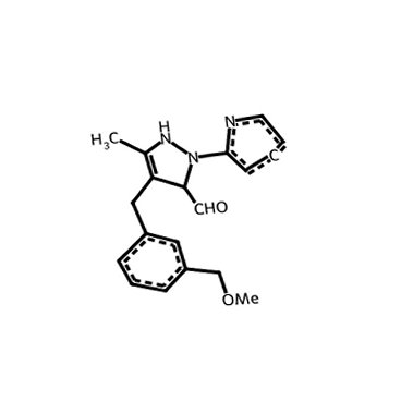 COCc1cccc(CC2=C(C)NN(c3ccccn3)C2C=O)c1